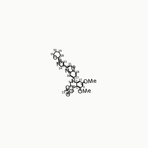 COc1cc(OC)c(F)c(N(CCOS(C)(=O)=O)c2ccc3ncc(-c4cnn(C5CCCCO5)c4)nc3c2)c1